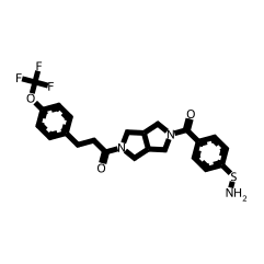 NSc1ccc(C(=O)N2CC3CN(C(=O)CCc4ccc(OC(F)(F)F)cc4)CC3C2)cc1